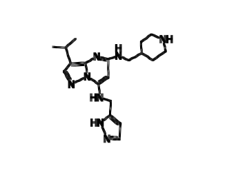 CC(C)c1cnn2c(NCc3ccn[nH]3)cc(NCC3CCNCC3)nc12